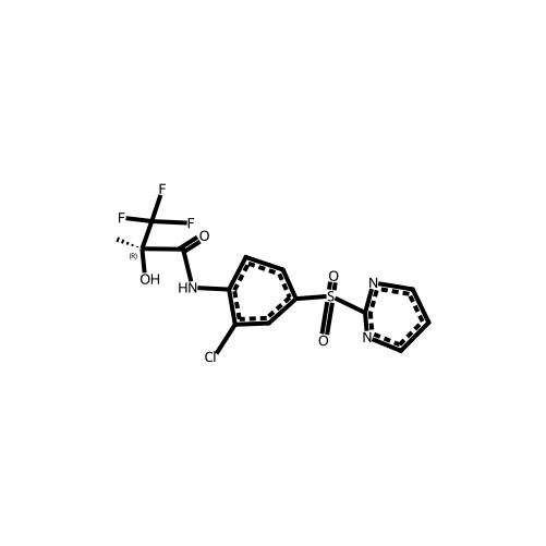 C[C@@](O)(C(=O)Nc1ccc(S(=O)(=O)c2ncccn2)cc1Cl)C(F)(F)F